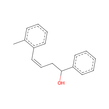 Cc1ccccc1/C=C\CC(O)c1ccccc1